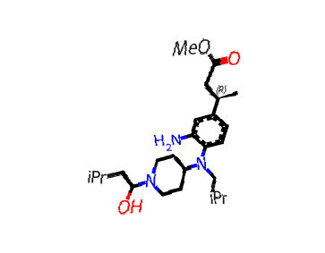 COC(=O)C[C@@H](C)c1ccc(N(CC(C)C)C2CCN(C(O)CC(C)C)CC2)c(N)c1